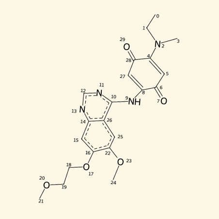 CCN(C)C1=CC(=O)C(Nc2ncnc3cc(OCCOC)c(OC)cc23)=CC1=O